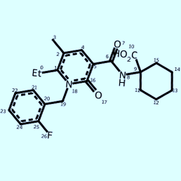 CCc1c(C)cc(C(=O)NC2(C(=O)O)CCCCC2)c(=O)n1Cc1ccccc1F